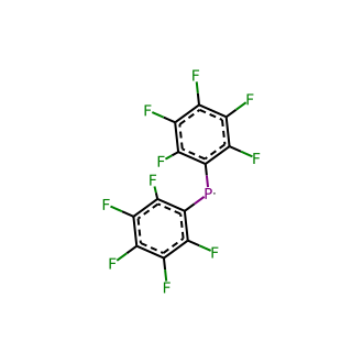 Fc1c(F)c(F)c([P]c2c(F)c(F)c(F)c(F)c2F)c(F)c1F